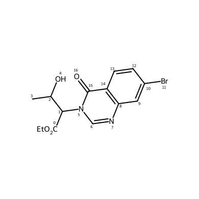 CCOC(=O)C(C(C)O)n1cnc2cc(Br)ccc2c1=O